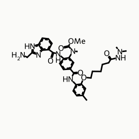 COC(=O)N(C)c1cc(C(=O)Nc2ccc(C)cc2OCCCCCC(=O)NN(C)C)ccc1NC(=O)c1cccc2[nH]c(CN)nc12